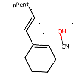 CCCCCC=CC1=CCCCC1.N#CO